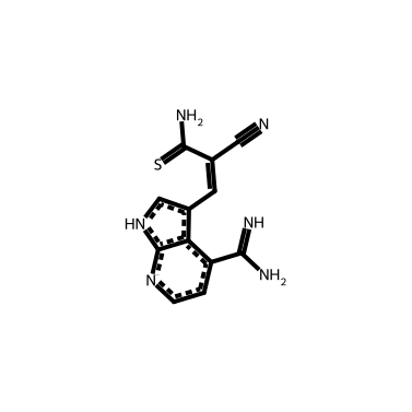 N#CC(=Cc1c[nH]c2nccc(C(=N)N)c12)C(N)=S